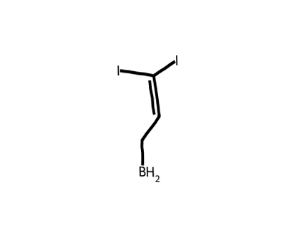 BCC=C(I)I